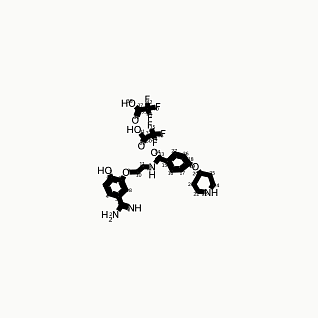 N=C(N)c1ccc(O)c(OCCNC(=O)c2ccc(OC3CCNCC3)cc2)c1.O=C(O)C(F)(F)F.O=C(O)C(F)(F)F